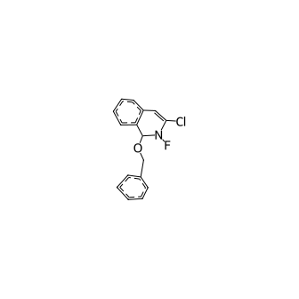 FN1C(Cl)=Cc2ccccc2C1OCc1ccccc1